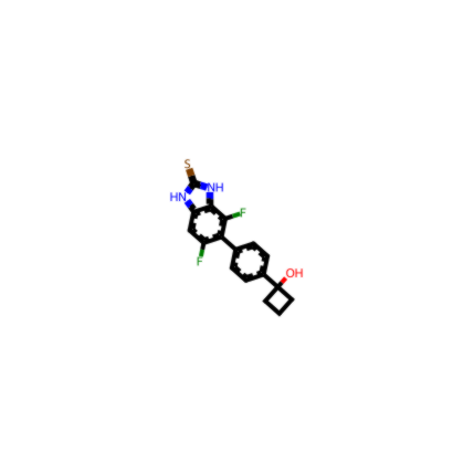 OC1(c2ccc(-c3c(F)cc4[nH]c(=S)[nH]c4c3F)cc2)CCC1